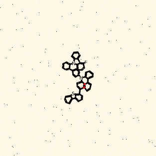 Fc1cccc2c1c1ccccc1n2-c1ccccc1-c1ccc(N(c2ccc(-c3cccc4c3sc3ccccc34)cc2)c2ccccc2-c2ccccc2)cc1